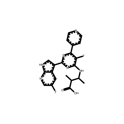 CC(Nc1nc(-c2c[nH]c3ncc(F)cc23)nc(-c2ccncc2)c1F)C(C)C(=O)O